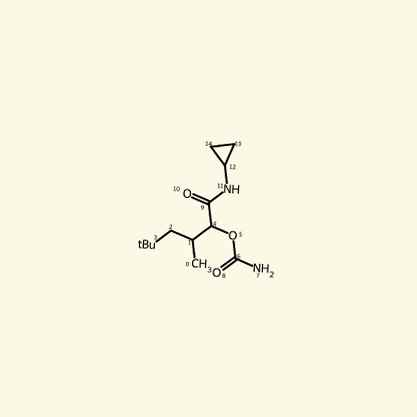 CC(CC(C)(C)C)C(OC(N)=O)C(=O)NC1CC1